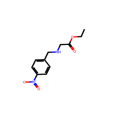 CCOC(=O)CNCc1ccc([N+](=O)[O-])cc1